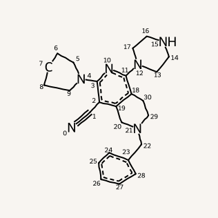 N#Cc1c(N2CCCCC2)nc(N2CCNCC2)c2c1CN(Cc1ccccc1)CC2